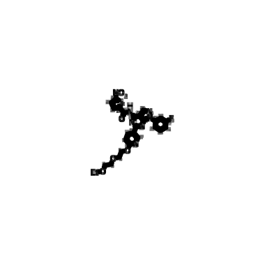 CCOCCOCCOc1ccc(-c2nc(NC(=O)c3ccc([N+](=O)[O-])s3)c3cnn(-c4cccc(F)c4)c3n2)cn1